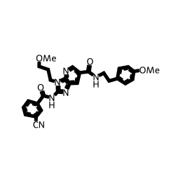 COCCCn1c(NC(=O)c2cccc(C#N)c2)nc2cc(C(=O)NCCc3ccc(OC)cc3)cnc21